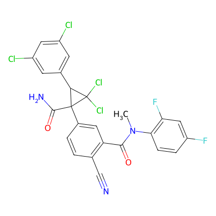 CN(C(=O)c1cc(C2(C(N)=O)C(c3cc(Cl)cc(Cl)c3)C2(Cl)Cl)ccc1C#N)c1ccc(F)cc1F